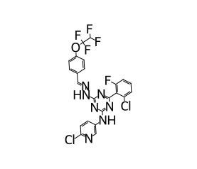 Fc1cccc(Cl)c1-c1nc(NN=Cc2ccc(OC(F)(F)C(F)F)cc2)nc(Nc2ccc(Cl)nc2)n1